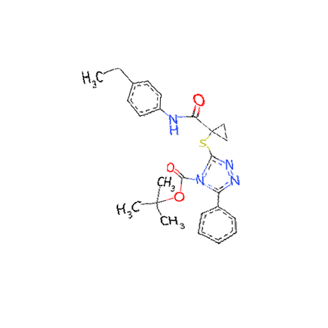 CCc1ccc(NC(=O)C2(Sc3nnc(-c4ccccc4)n3C(=O)OC(C)(C)C)CC2)cc1